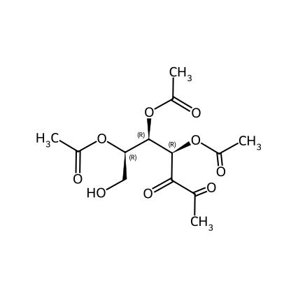 CC(=O)O[C@H]([C@@H](CO)OC(C)=O)[C@@H](OC(C)=O)C(=O)C(C)=O